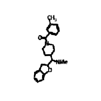 CNC(C1CCN(C(=O)c2cccc(C)c2)CC1)C1Cc2ccccc2O1